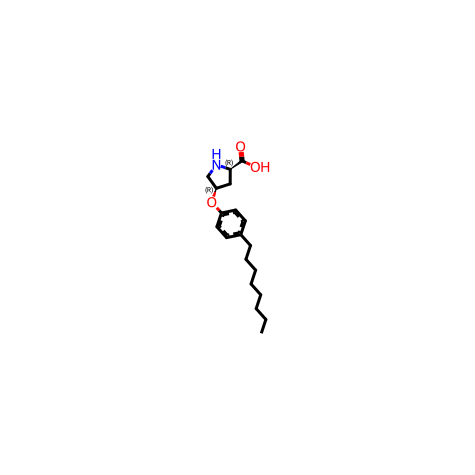 CCCCCCCCc1ccc(O[C@H]2CN[C@@H](C(=O)O)C2)cc1